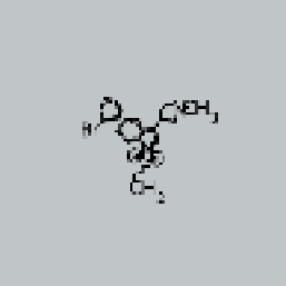 Brc1ccccc1.C=CCS(=O)(=O)n1cc(C2CCN(C)C2)c2ccccc21